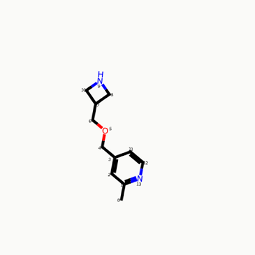 Cc1cc(COCC2CNC2)ccn1